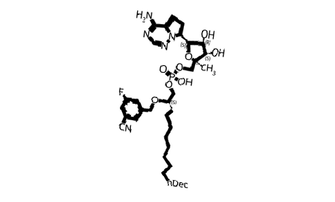 CCCCCCCCCCCCCCCCCC[C@@H](COP(=O)(O)OC[C@@]1(C)O[C@@H](C2CC=C3C(N)=NC=NN32)[C@H](O)[C@@H]1O)OCc1cc(F)cc(C#N)c1